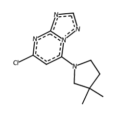 CC1(C)CCN(c2cc(Cl)nc3ncnn23)C1